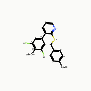 COc1ccc(CSc2ncccc2-c2cc(F)c(OC)c(F)c2)cc1